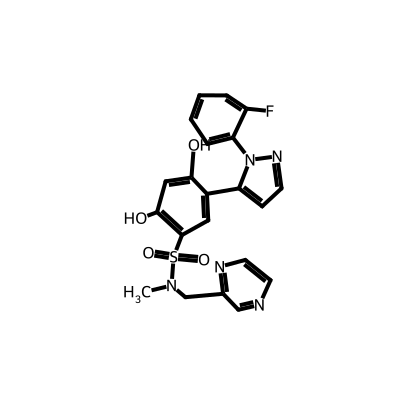 CN(Cc1cnccn1)S(=O)(=O)c1cc(-c2ccnn2-c2ccccc2F)c(O)cc1O